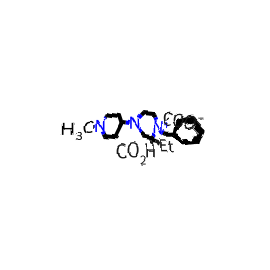 CCC1(C(=O)O)CN(C2CCN(C)CC2)CC[N@+]1(Cc1ccccc1)C(=O)[O-]